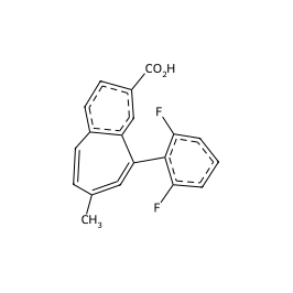 CC1=C=C(c2c(F)cccc2F)c2cc(C(=O)O)ccc2C=C1